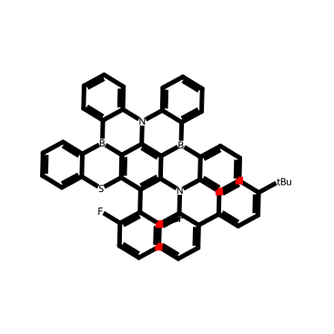 CC(C)(C)c1ccc(-c2ccccc2N2c3ccccc3B3c4ccccc4N4c5ccccc5B5c6ccccc6Sc6c5c4c3c2c6-c2c(F)cccc2F)cc1